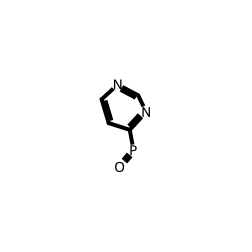 O=Pc1ccncn1